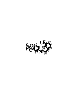 FC1(F)Oc2ccc(Nc3ccc4cccc(Cl)c4n3)cc2O1